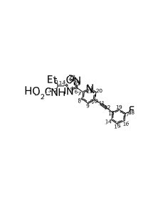 CCC(NC(=O)O)c1nc(-c2ccc(C#Cc3cccc(F)c3)cn2)no1